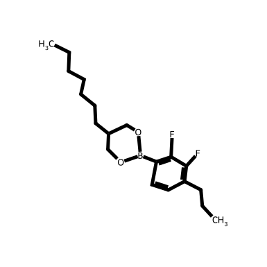 CCCCCCCC1COB(c2ccc(CCC)c(F)c2F)OC1